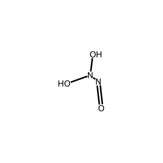 O=NN(O)O